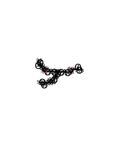 CCOC(=O)C=Cc1ccc(OCCCOCC(COCCCOc2ccc(C=CC(=O)OCC)cc2)OCCCOc2ccc(C=CC(=O)OCC)cc2)cc1